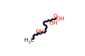 CC/C=C\C[C@@H](O)/C=C/C=C\C/C=C\C/C=C\C=C\[C@H](O)CCC(=O)O